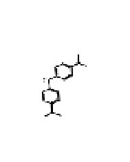 CC(C)c1ccc([C]c2ccc(C(C)C)cc2)cc1